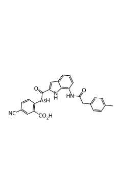 Cc1ccc(CC(=O)Nc2cccc3cc(C(=O)[AsH]c4ccc(C#N)cc4C(=O)O)[nH]c23)cc1